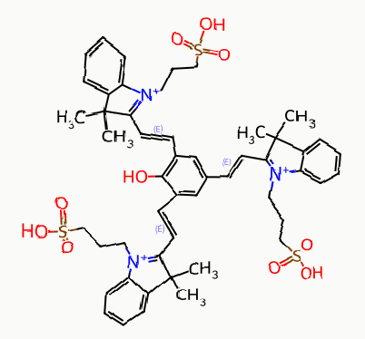 CC1(C)C(/C=C/c2cc(/C=C/C3=[N+](CCCS(=O)(=O)O)c4ccccc4C3(C)C)c(O)c(/C=C/C3=[N+](CCCS(=O)(=O)O)c4ccccc4C3(C)C)c2)=[N+](CCCS(=O)(=O)O)c2ccccc21